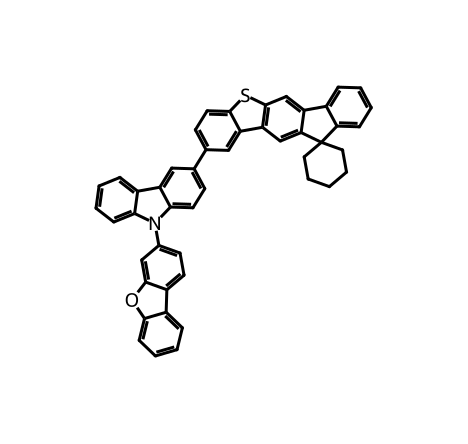 c1ccc2c(c1)-c1cc3sc4ccc(-c5ccc6c(c5)c5ccccc5n6-c5ccc6c(c5)oc5ccccc56)cc4c3cc1C21CCCCC1